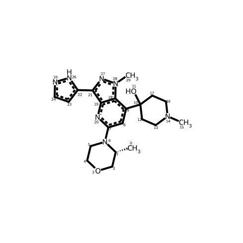 C[C@@H]1COCCN1c1cc(C2(O)CCN(C)CC2)c2c(n1)c(-c1ccn[nH]1)nn2C